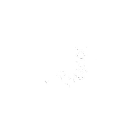 CCc1nc(Nc2n[nH]c3c2CN(C(=O)N2C[C@@H](C)N(CCCOC)C[C@@H]2C)C3(C)C)nc(N)c1F